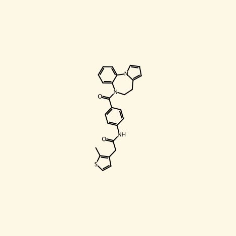 Cc1sccc1CC(=O)Nc1ccc(C(=O)N2CCc3cccn3-c3ccccc32)cc1